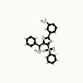 Cc1cccc(-c2nc(S(=O)(=O)c3ccccc3)c(C(N)c3ccccc3)o2)c1